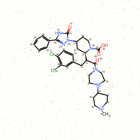 CN1CCC(N2CCN(C(=O)C(Cc3ccc(Cl)c(Cl)c3)[C@H]3CC(n4nc(-c5ccccc5)[nH]c4=O)CCN3C(=O)O)CC2)CC1